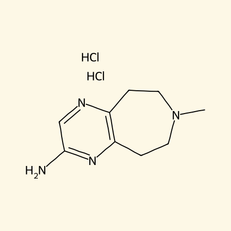 CN1CCc2ncc(N)nc2CC1.Cl.Cl